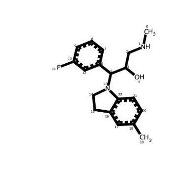 CNCC(O)C(c1cccc(F)c1)N1CCc2cc(C)ccc21